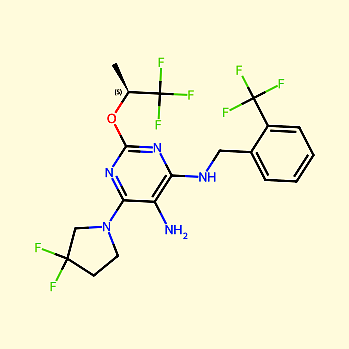 C[C@H](Oc1nc(NCc2ccccc2C(F)(F)F)c(N)c(N2CCC(F)(F)C2)n1)C(F)(F)F